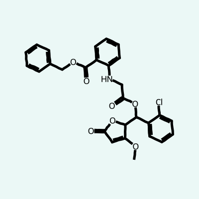 COC1=CC(=O)OC1C(OC(=O)CNc1ccccc1C(=O)OCc1ccccc1)c1ccccc1Cl